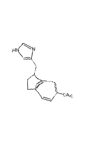 CC(=O)Oc1ccc2c(c1)C(Cc1c[nH]cn1)CC2